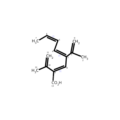 C=C(C)C(=C\C=C/C)/C=C(\C(=C)C)C(=O)O